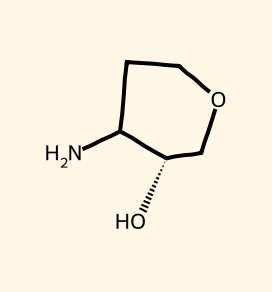 NC1CCOC[C@@H]1O